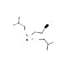 CC(C)COP(=O)(CCC#N)OCC(C)C